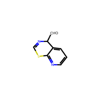 O=CC1N=CSc2ncccc21